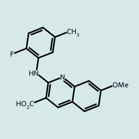 COc1ccc2cc(C(=O)O)c(Nc3cc(C)ccc3F)nc2c1